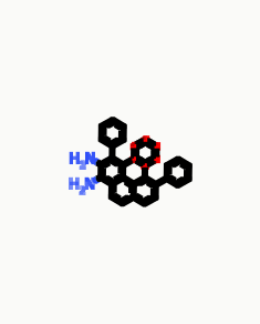 Nc1c(-c2ccccc2)c(-c2ccccc2)c2c(ccc3ccc(-c4ccccc4)c(-c4ccccc4)c32)c1N